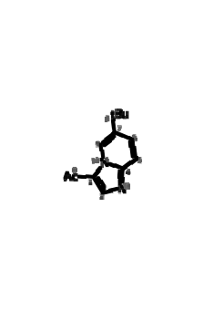 CC(=O)c1cnc2ccc(C(C)(C)C)cn12